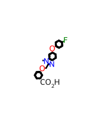 Cn1c(COc2cccc(C(=O)O)c2)nc2ccc(Oc3ccc(F)cc3)cc21